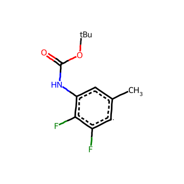 Cc1[c]c(F)c(F)c(NC(=O)OC(C)(C)C)c1